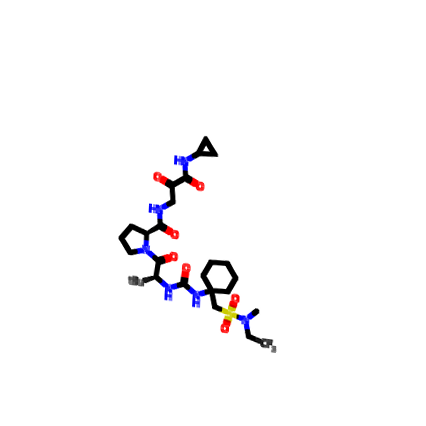 CN(CC(F)(F)F)S(=O)(=O)CC1(NC(=O)N[C@H](C(=O)N2CCC[C@H]2C(=O)NCC(=O)C(=O)NC2CC2)C(C)(C)C)CCCCC1